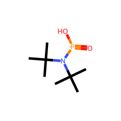 CC(C)(C)N([P](=O)O)C(C)(C)C